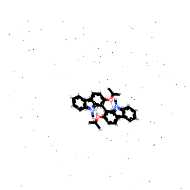 CC(C)Oc1ccc2c3ccccc3n(C)c2c1-c1c(OC(C)C)ccc2c3ccccc3n(C)c12